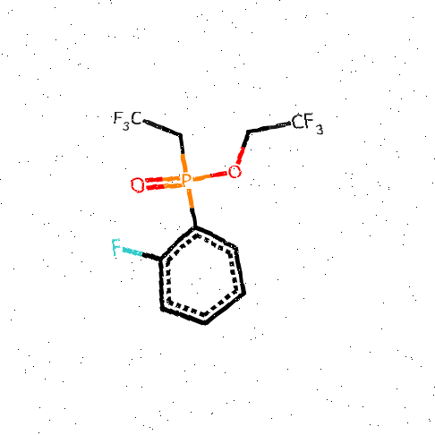 O=P(CC(F)(F)F)(OCC(F)(F)F)c1ccccc1F